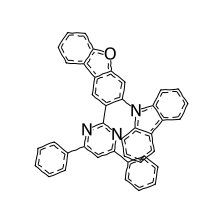 c1ccc(-c2cc(-c3ccccc3)nc(-c3cc4c(cc3-n3c5ccccc5c5ccccc53)oc3ccccc34)n2)cc1